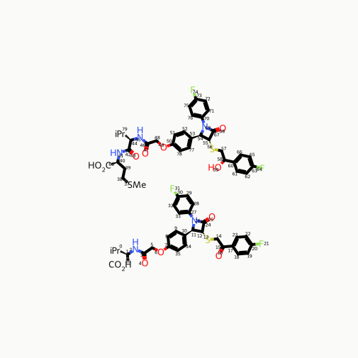 CC(C)[C@@H](NC(=O)COc1ccc([C@@H]2[C@@H](SCC(=O)c3ccc(F)cc3)C(=O)N2c2ccc(F)cc2)cc1)C(=O)O.CSCC[C@H](NC(=O)[C@H](NC(=O)COc1ccc([C@@H]2[C@@H](SCC(O)c3ccc(F)cc3)C(=O)N2c2ccc(F)cc2)cc1)C(C)C)C(=O)O